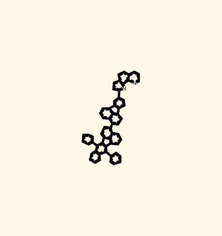 c1ccc(-c2c3c(c(-c4ccccc4)c4ccccc24)-c2ccc(-c4ccc5c6c(cccc46)-c4cc(-c6ccc7ccc8cccnc8c7n6)ccc4-5)c4cccc-3c24)cc1